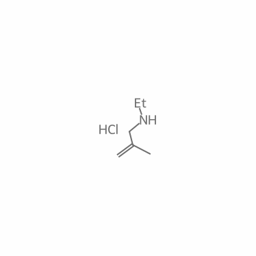 C=C(C)CNCC.Cl